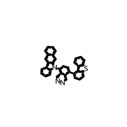 c1ccc2cc3c(cc2c1)c1ccccc1n3-c1ccc(-c2cccc3sc4ccccc4c23)c2cnncc12